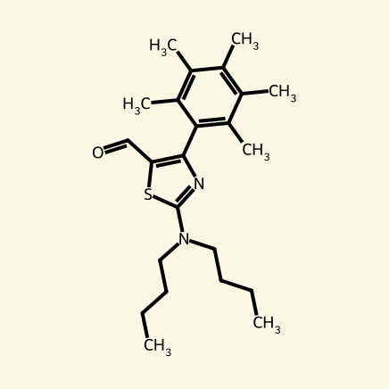 CCCCN(CCCC)c1nc(-c2c(C)c(C)c(C)c(C)c2C)c(C=O)s1